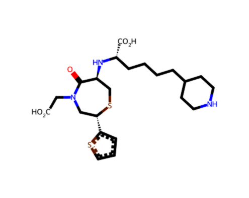 O=C(O)CN1C[C@@H](c2cccs2)SC[C@H](N[C@@H](CCCCC2CCNCC2)C(=O)O)C1=O